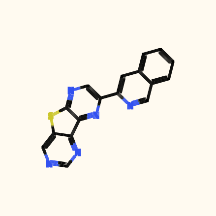 c1ccc2cc(-c3cnc4sc5cncnc5c4n3)ncc2c1